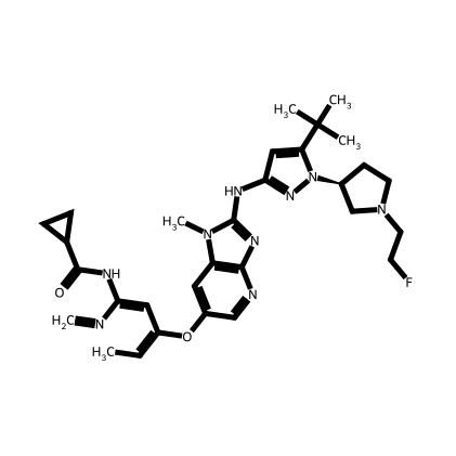 C=N/C(=C\C(=C/C)Oc1cnc2nc(Nc3cc(C(C)(C)C)n([C@H]4CCN(CCF)C4)n3)n(C)c2c1)NC(=O)C1CC1